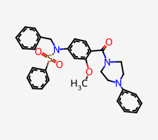 COc1cc(N(Cc2ccccc2)S(=O)(=O)c2ccccc2)ccc1C(=O)N1CCN(c2ccccc2)CC1